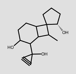 CC1C2C(C3(O)C#C3)C(O)CCC2C12CCC[C@@H]2O